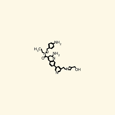 CCCN(OCc1ccc(N)cc1)C(=O)C1=Cc2ccc(-c3cncc(CCN4CC(CO)C4)c3)cc2N=C(N)C1